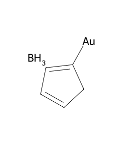 B.[Au][C]1=CC=CC1